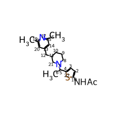 CC(=O)Nc1ccc(C(C)N2CCC[C@H](Cc3cc(C)nc(C)c3)C2)s1